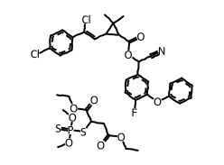 CC1(C)C(/C=C(\Cl)c2ccc(Cl)cc2)C1C(=O)OC(C#N)c1ccc(F)c(Oc2ccccc2)c1.CCOC(=O)CC(SP(=S)(OC)OC)C(=O)OCC